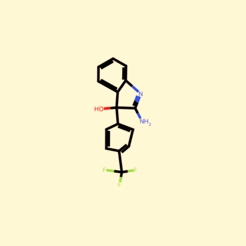 NC1=Nc2ccccc2C1(O)c1ccc(C(F)(F)F)cc1